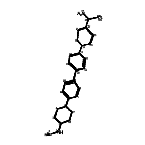 CCCCNC1CCC(c2ccc(-c3ccc(C4CCC(C(N)CC)CC4)cc3)cc2)CC1